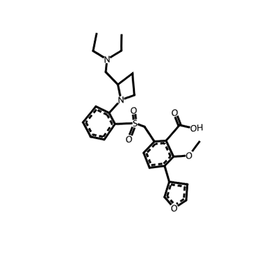 CCN(CC)CC1CCN1c1ccccc1S(=O)(=O)Cc1ccc(-c2ccoc2)c(OC)c1C(=O)O